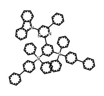 c1ccc(-c2ccc([Si](c3ccccc3)(c3ccccc3)c3cc(-c4nc(-c5ccccc5)cc(-n5c6ccccc6c6ccccc65)n4)cc([Si](c4ccccc4)(c4ccccc4)c4ccc(-c5ccccc5)cc4)c3)cc2)cc1